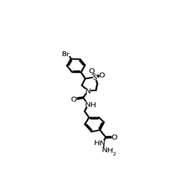 NNC(=O)c1ccc(CNC(=O)N2CCS(=O)(=O)C(c3ccc(Br)cc3)C2)cc1